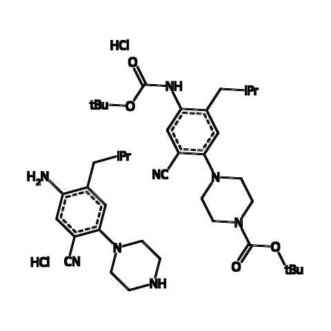 CC(C)Cc1cc(N2CCN(C(=O)OC(C)(C)C)CC2)c(C#N)cc1NC(=O)OC(C)(C)C.CC(C)Cc1cc(N2CCNCC2)c(C#N)cc1N.Cl.Cl